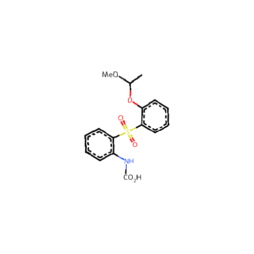 COC(C)Oc1ccccc1S(=O)(=O)c1ccccc1NC(=O)O